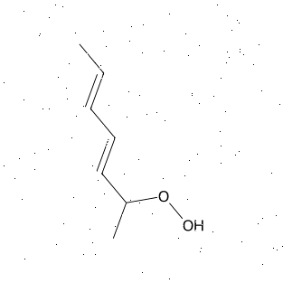 C/C=C/C=C/C(C)OO